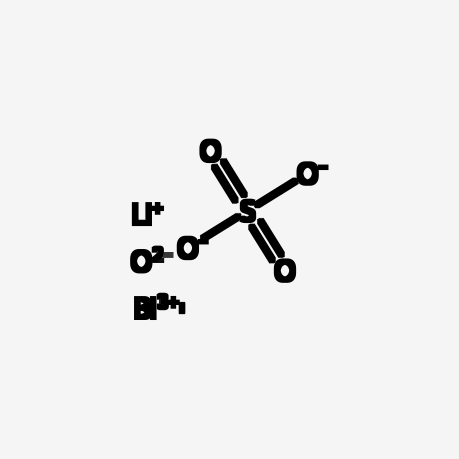 O=S(=O)([O-])[O-].[Bi+3].[Li+].[O-2]